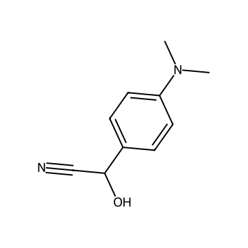 CN(C)c1ccc(C(O)C#N)cc1